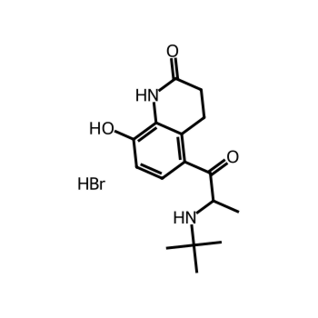 Br.CC(NC(C)(C)C)C(=O)c1ccc(O)c2c1CCC(=O)N2